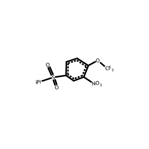 CC(C)S(=O)(=O)c1ccc(OC(F)(F)F)c([N+](=O)[O-])c1